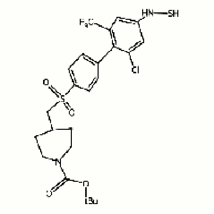 CC(C)(C)OC(=O)N1CCC(CS(=O)(=O)c2ccc(-c3c(Cl)cc(NS)cc3C(F)(F)F)cc2)CC1